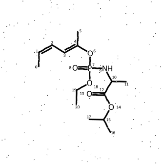 C/C=C\C=C(/C)OP(=O)(NC(C)C(=O)OC(C)C)OCC